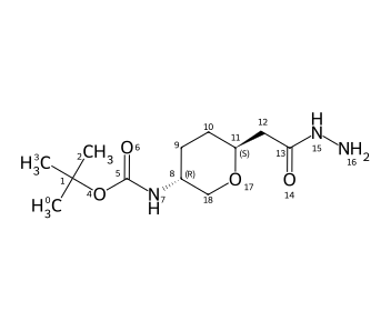 CC(C)(C)OC(=O)N[C@@H]1CC[C@@H](CC(=O)NN)OC1